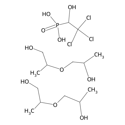 CC(O)COC(C)CO.CC(O)COC(C)CO.O=P(O)(O)C(O)C(Cl)(Cl)Cl